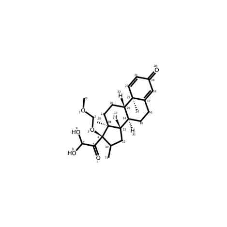 COCO[C@]1(C(=O)C(O)O)C(C)C[C@H]2[C@@H]3CCC4=CC(=O)C=C[C@]4(C)[C@H]3CC[C@@]21C